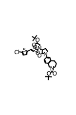 CC(C)(C)OC(=O)CN([C@H]1CCN(c2ccc3c(c2)CCCN(C(=O)OC(C)(C)C)C3)C1=O)S(=O)(=O)/C=C/c1ccc(Cl)s1